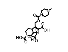 CN1CCN(C(=O)OCC2=C(C(=O)O)N3C(=O)[C@@H]4[C@H]3C2CCN4C(=O)O)CC1